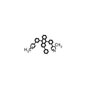 CC1CN=CC=C1c1cccc(-c2c3ccccc3c(-c3cccc(C4=CCN(C)C=C4)c3)c3ccc(-c4ccccc4)cc23)c1